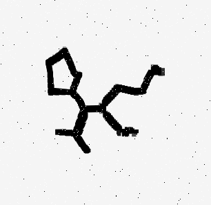 CCCN(CCC(C)CC)C(=C(C)C)C1CCCC1